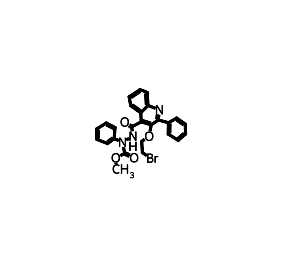 COC(=O)N(NC(=O)c1c(OCCBr)c(-c2ccccc2)nc2ccccc12)c1ccccc1